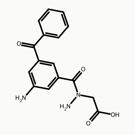 Nc1cc(C(=O)c2ccccc2)cc(C(=O)N(N)CC(=O)O)c1